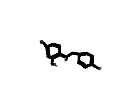 Nc1cc(Cl)cnc1NCc1ccc(Cl)cc1